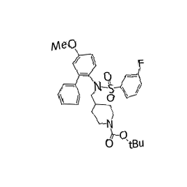 COc1ccc(N(CC2CCN(C(=O)OC(C)(C)C)CC2)S(=O)(=O)c2cccc(F)c2)c(-c2ccccc2)c1